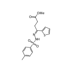 COC(=O)CC/C(=N/NS(=O)(=O)c1ccc(C)cc1)c1cccs1